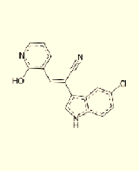 N#C/C(=C\c1cccnc1O)c1c[nH]c2ccc(Cl)cc12